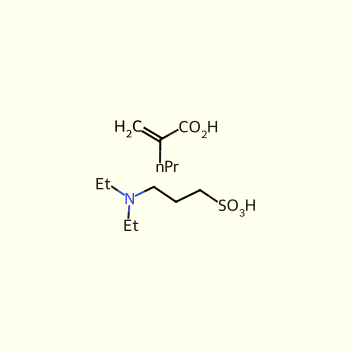 C=C(CCC)C(=O)O.CCN(CC)CCCS(=O)(=O)O